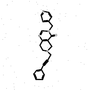 O=c1c2c(ncn1Cc1ccncc1)CCN(CC#Cc1ccccc1)C2